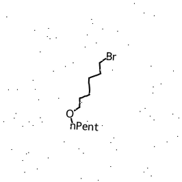 CCCCCOCCCCCCBr